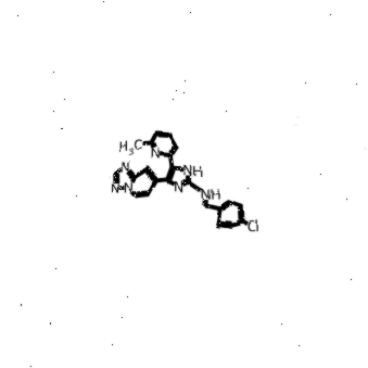 Cc1cccc(-c2[nH]c(NCc3ccc(Cl)cc3)nc2-c2ccn3ncnc3c2)n1